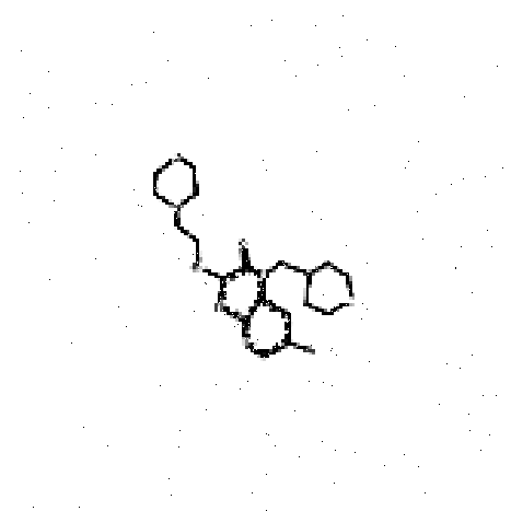 O=c1c(NCCN2CCOCC2)nc2ncc(Br)cc2n1CC1CCOCC1